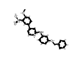 COc1ccc(-c2ccnc(Nc3cccc(OCc4ccccc4)c3)c2)cc1[N+](=O)[O-]